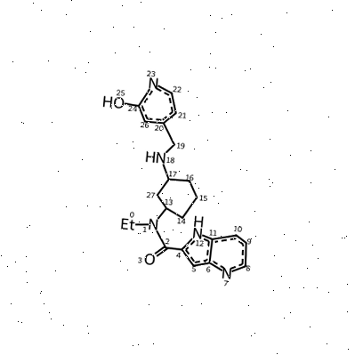 CCN(C(=O)c1cc2ncccc2[nH]1)C1CCCC(NCc2ccnc(O)c2)C1